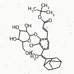 COC(=C1C2CC3CC(C2)CC1C3)c1ccc(/C=C/C(=O)OC(C)(C)C)c(OC2OC(CO)C(O)C(O)C2O)c1Cl